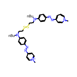 CCCCN(CCSSCCN(CCCC)c1ccc(/N=N/C2=CC=CN(C)C=C2)cc1)c1ccc(N=Nc2cc[n+](C)cc2)cc1